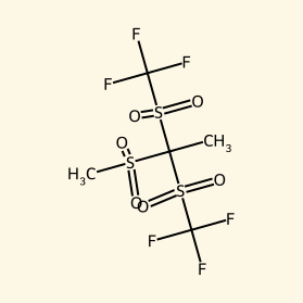 CC(S(C)(=O)=O)(S(=O)(=O)C(F)(F)F)S(=O)(=O)C(F)(F)F